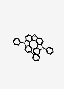 c1ccc(-c2ccc3c(c2)c2c4c(ccc2n3-c2ccccc2)sc2ccc3c(c5ccccc5n3-c3ccccc3)c24)cc1